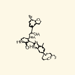 Cc1cc(N2CCO[C@H](CF)C2)cc2[nH]c(-c3c(NC[C@H](O)c4ccc(Br)c5c4CCO5)cc[nH]c3=O)nc12